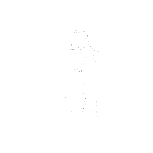 CCC1CCC12C(CNC(=O)c1n[nH]c3ccccc13)CN2C